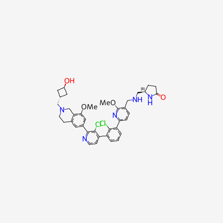 COc1cc(-c2nccc(-c3cccc(-c4ccc(CNC[C@H]5CCC(=O)N5)c(OC)n4)c3Cl)c2Cl)cc2c1CN(C[C@H]1C[C@H](O)C1)CC2